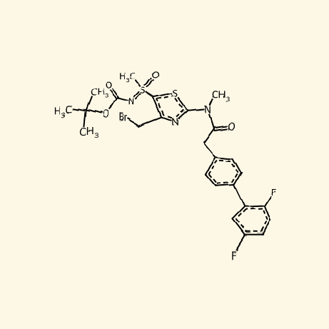 CN(C(=O)Cc1ccc(-c2cc(F)ccc2F)cc1)c1nc(CBr)c(S(C)(=O)=NC(=O)OC(C)(C)C)s1